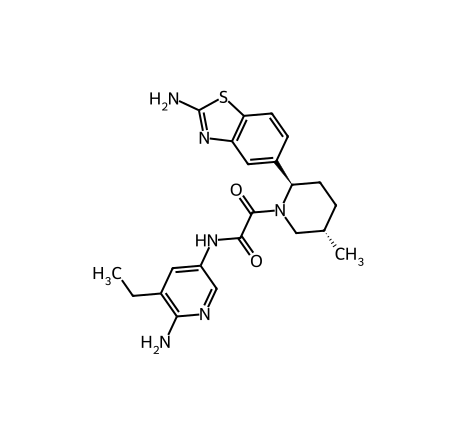 CCc1cc(NC(=O)C(=O)N2C[C@@H](C)CC[C@@H]2c2ccc3sc(N)nc3c2)cnc1N